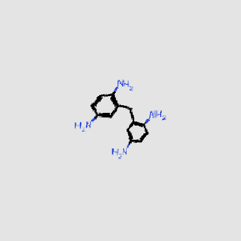 Nc1ccc(N)c([CH]c2cc(N)ccc2N)c1